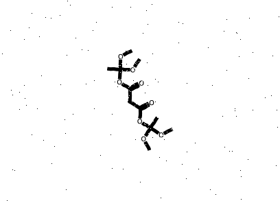 COC(C)(OC)OC(=O)CC(=O)OC(C)(OC)OC